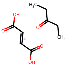 CCC(=O)CC.O=C(O)/C=C/C(=O)O